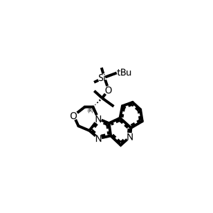 CC(C)(O[Si](C)(C)C(C)(C)C)[C@H]1COCc2nc3cnc4ccccc4c3n21